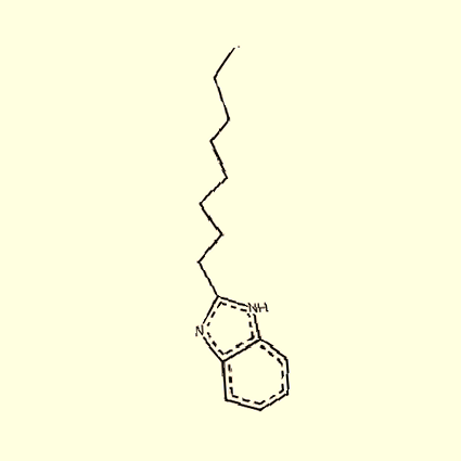 [CH2]CCCCCCCc1nc2ccccc2[nH]1